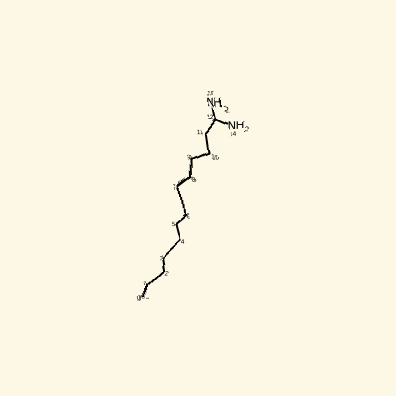 [CH2]CCCCCCCCCCCC(N)N